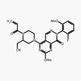 C=CC(=O)N1CCN(c2nc(OC)nc3c(=O)n(-c4c(F)cccc4OC)ncc23)CC1CC#N